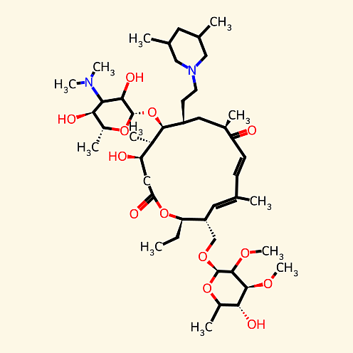 CC[C@H]1OC(=O)C[C@@H](O)[C@H](C)[C@@H](O[C@@H]2O[C@H](C)[C@@H](O)C(N(C)C)C2O)[C@@H](CCN2CC(C)CC(C)C2)C[C@@H](C)C(=O)/C=C/C(C)=C/[C@@H]1CO[C@@H]1OC(C)[C@@H](O)[C@H](OC)C1OC